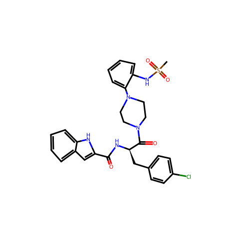 CS(=O)(=O)Nc1ccccc1N1CCN(C(=O)[C@@H](Cc2ccc(Cl)cc2)NC(=O)c2cc3ccccc3[nH]2)CC1